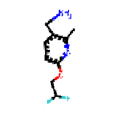 Cc1nc(OCC(F)F)ccc1CN